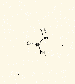 N[NH][Rh]([PH2])[Cl]